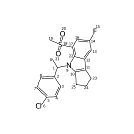 CC(c1ccc(Cl)cc1)n1c2c(c3cc(F)cc(S(C)(=O)=O)c31)CC[C]2